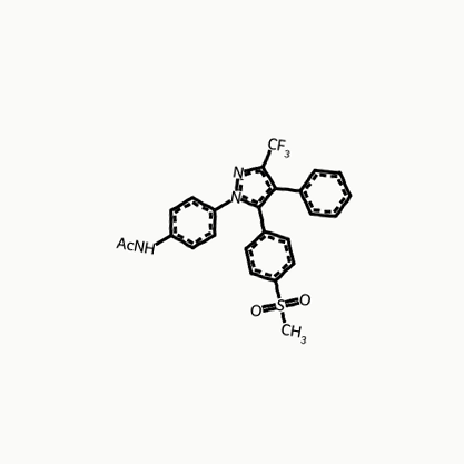 CC(=O)Nc1ccc(-n2nc(C(F)(F)F)c(-c3ccccc3)c2-c2ccc(S(C)(=O)=O)cc2)cc1